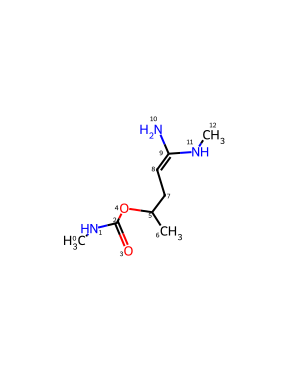 CNC(=O)OC(C)C/C=C(/N)NC